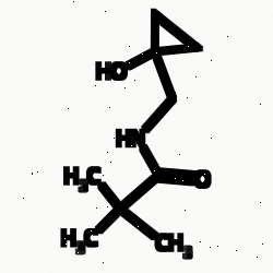 CC(C)(C)C(=O)NCC1(O)CC1